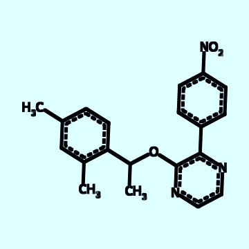 Cc1ccc(C(C)Oc2nccnc2-c2ccc([N+](=O)[O-])cc2)c(C)c1